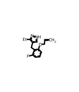 C=CCOc1cccc(F)c1Cc1c[nH]nc1CC